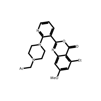 CCc1cc(OC)cc2nc(-c3cccnc3N3CCN(CC(C)=O)CC3)oc(=O)c12